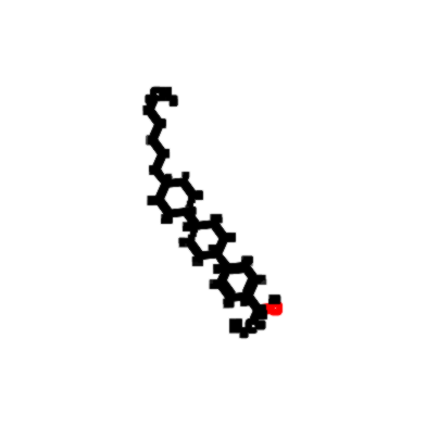 CCCCCC[C@H]1CC[C@H]([C@H]2CC[C@H](c3ccc(C(C)=O)cc3)CC2)CC1